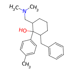 Cc1ccc(C2(O)C(Cc3ccccc3)CCCC2CN(C)C)cc1